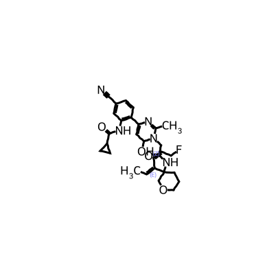 C/C=C(\C=C/CF)C1(NC(=O)CN2C(C)=NC(c3ccc(C#N)cc3NC(=O)C3CC3)=CC2O)CCCOC1